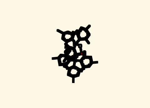 Cc1cc(C)c([Si](O[PH](=O)O[Si](c2c(C)cc(C)cc2C)(c2c(C)cc(C)cc2C)c2c(C)cc(C)cc2C)(c2c(C)cc(C)cc2C)c2c(C)cc(C)cc2C)c(C)c1